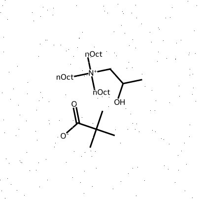 CC(C)(C)C(=O)[O-].CCCCCCCC[N+](CCCCCCCC)(CCCCCCCC)CC(C)O